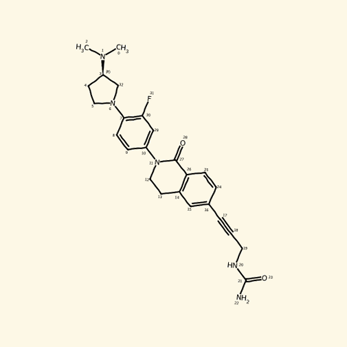 CN(C)[C@@H]1CCN(c2ccc(N3CCc4cc(C#CCNC(N)=O)ccc4C3=O)cc2F)C1